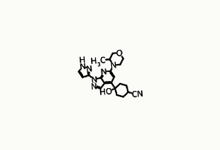 CC1COCCN1c1cc(C2(O)CCC(C#N)CC2)c2cnn(-c3cc[nH]n3)c2n1